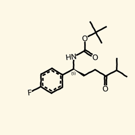 CC(C)C(=O)CC[C@H](NC(=O)OC(C)(C)C)c1ccc(F)cc1